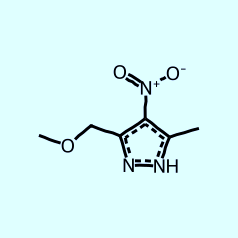 COCc1n[nH]c(C)c1[N+](=O)[O-]